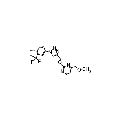 COCc1ccnc(OCc2cn(-c3ccc(F)c(C(F)(F)F)c3)nn2)n1